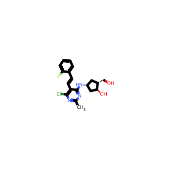 Cc1nc(Cl)c(/C=C/c2ccccc2F)c(N[C@@H]2C[C@H](CO)[C@@H](O)C2)n1